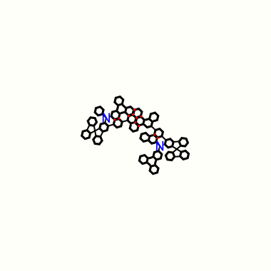 c1ccc(N(c2ccc3c4cc(-c5ccc6cc(-c7ccc(-c8cc9c(cc8N(c8ccc%10ccccc%10c8)c8ccc%10c%11ccccc%11c%11ccccc%11c%10c8)C8(c%10ccccc%10-c%10ccccc%108)c8ccccc8-9)cc7)c7ccccc7c6c5)ccc4c4ccccc4c3c2)c2cc3c(cc2-c2ccc(-c4cc5ccccc5c5ccccc45)cc2)-c2ccccc2C32c3ccccc3-c3ccccc32)cc1